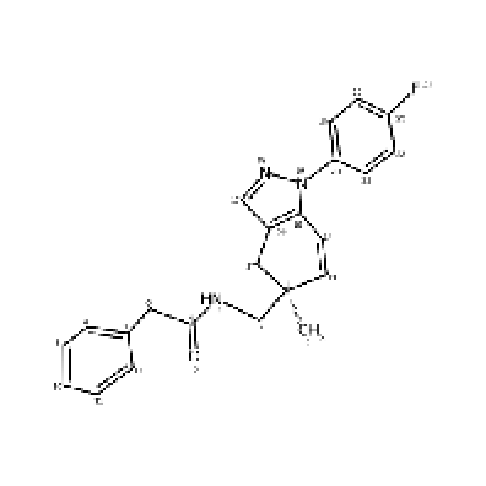 C[C@@]1(CNC(=O)Cc2ccccc2)C=Cc2c(cnn2-c2ccc(F)cc2)C1